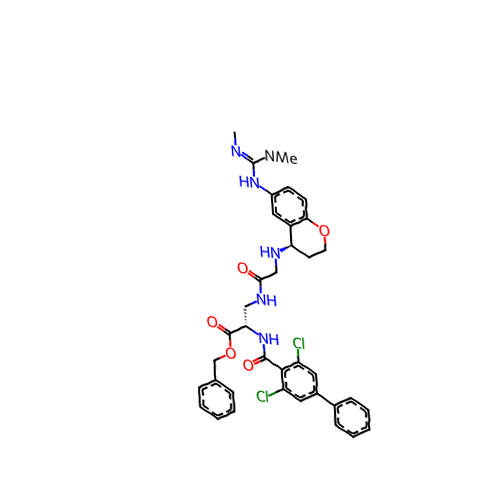 C/N=C(\NC)Nc1ccc2c(c1)[C@H](NCC(=O)NC[C@H](NC(=O)c1c(Cl)cc(-c3ccccc3)cc1Cl)C(=O)OCc1ccccc1)CCO2